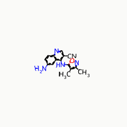 Cc1noc(Nc2c(C#N)cnc3ccc(N)cc23)c1C